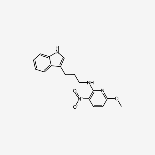 COc1ccc([N+](=O)[O-])c(NCCCc2c[nH]c3ccccc23)n1